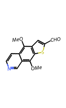 COc1c2ccncc2c(OC)c2sc(C=O)cc12